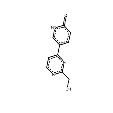 O=c1ccc(-c2ccnc(CO)n2)c[nH]1